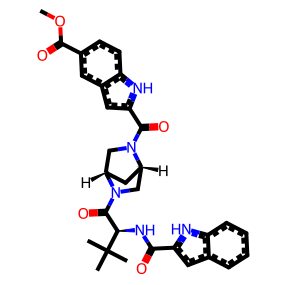 COC(=O)c1ccc2[nH]c(C(=O)N3C[C@@H]4C[C@H]3CN4C(=O)[C@@H](NC(=O)c3cc4ccccc4[nH]3)C(C)(C)C)cc2c1